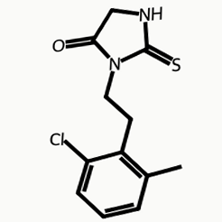 Cc1cccc(Cl)c1CCN1C(=O)CNC1=S